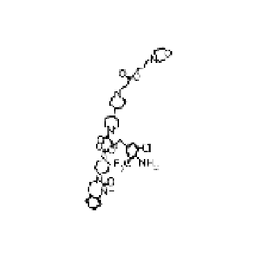 Nc1c(Cl)cc(C[C@@H](OC(=O)N2CCC(N3CCc4ccccc4NC3=O)CC2)C(=O)N2CCC(C3CCN(CCC(=O)OCCCN4CCOCC4)CC3)CC2)cc1C(F)(F)F